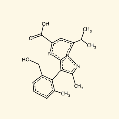 Cc1cccc(CO)c1-c1c(C)nn2c(C(C)C)cc(C(=O)O)nc12